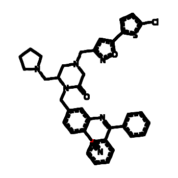 N#Cc1ccc(CN2C(=O)CN(Cc3cc(-c4ccc(Cl)s4)on3)CC2CN2CCCC2)cc1N=C(c1ccccc1)c1ccccc1